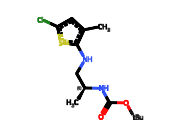 Cc1cc(Cl)sc1NC[C@H](C)NC(=O)OC(C)(C)C